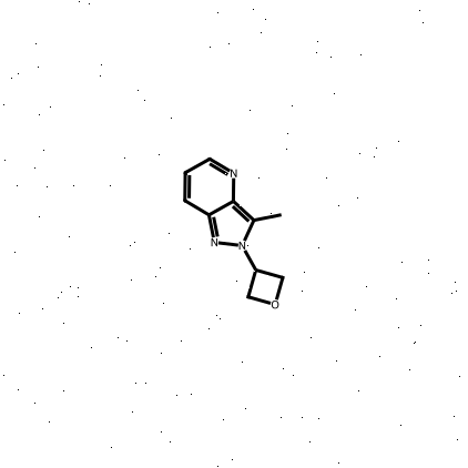 Cc1c2ncccc2nn1C1COC1